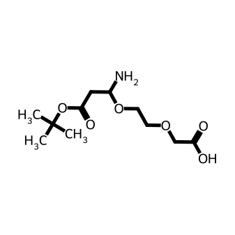 CC(C)(C)OC(=O)CC(N)OCCOCC(=O)O